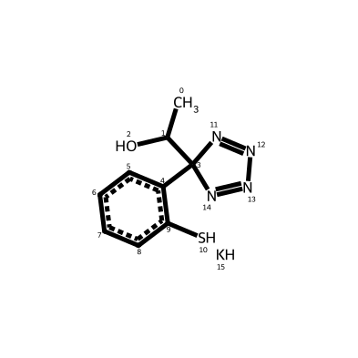 CC(O)C1(c2ccccc2S)N=NN=N1.[KH]